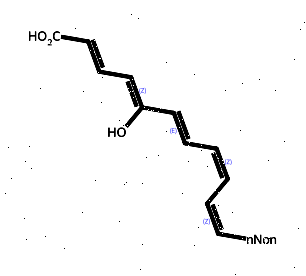 CCCCCCCCC\C=C/C=C\C=C\C(O)=C\C=CC(=O)O